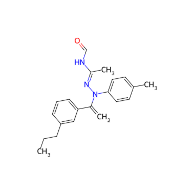 C=C(c1cccc(CCC)c1)N(/N=C(\C)NC=O)c1ccc(C)cc1